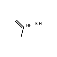 Br.C=CC.F